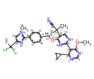 COc1ncnc(C2CC2)c1-c1ncc(C(C)(C)C#N)c(OCc2ccc(-c3nc(C(F)(F)F)cn3C)cc2)n1